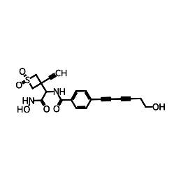 C#CC1(C(NC(=O)c2ccc(C#CC#CCCO)cc2)C(=O)NO)CS(=O)(=O)C1